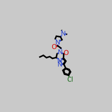 CCCCCC1CN(CC(=O)N2CCC(N(C)C)C2)C(=O)c2cc(-c3ccc(Cl)cc3)nn21